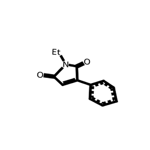 [CH2]CN1C(=O)C=C(c2ccccc2)C1=O